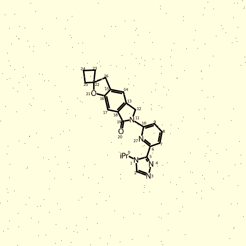 CC(C)n1cnnc1-c1cccc(N2Cc3cc4c(cc3C2=O)OC2(CCC2)C4)n1